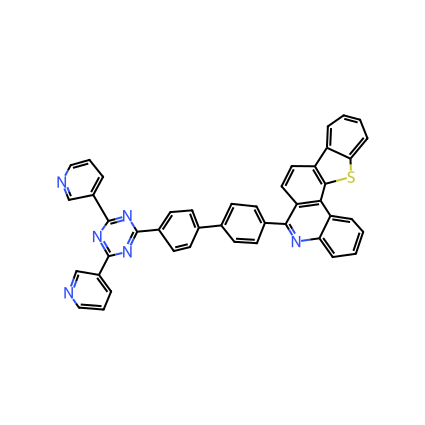 c1cncc(-c2nc(-c3ccc(-c4ccc(-c5nc6ccccc6c6c5ccc5c7ccccc7sc56)cc4)cc3)nc(-c3cccnc3)n2)c1